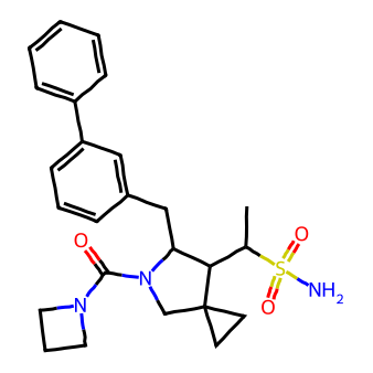 CC(C1C(Cc2cccc(-c3ccccc3)c2)N(C(=O)N2CCC2)CC12CC2)S(N)(=O)=O